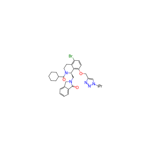 CC(C)n1cc(COc2ccc(Br)c3c2[C@@H](CN2Cc4ccccc4C2=O)N(C(=O)C2CCCCC2)CC3)nn1